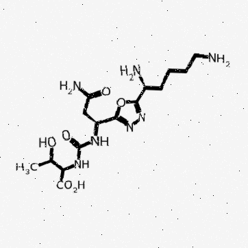 CC(O)C(NC(=O)N[C@@H](CC(N)=O)c1nnc([C@@H](N)CCCCN)o1)C(=O)O